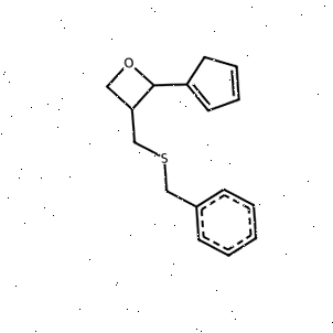 C1=CCC(C2OCC2CSCc2ccccc2)=C1